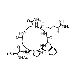 CCCC[C@H](NC(C)=O)C(=O)N[C@H]1CCC(=O)NCC[C@@H](C(N)=O)NC(=O)[C@H](CCCNC(=N)N)NC(=O)[C@@H](Cc2ccccc2)NC(=O)[C@@H]2CCCN2C1=O